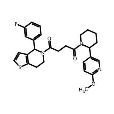 COc1ccc(C2CCCCN2C(=O)CCC(=O)N2CCc3sccc3C2c2cccc(F)c2)cn1